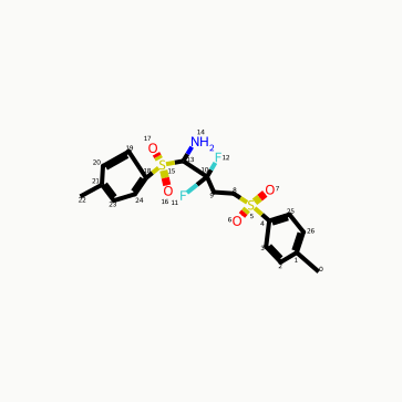 Cc1ccc(S(=O)(=O)CCC(F)(F)C(N)S(=O)(=O)c2ccc(C)cc2)cc1